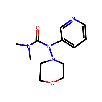 CN(C)C(=O)N(c1cccnc1)N1CCOCC1